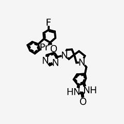 CC(C)C1(Oc2cncnc2N2CCC3(CCN(Cc4ccc5[nH]c(=O)[nH]c5c4)C3)C2)CC=C(F)C=C1c1ccccc1